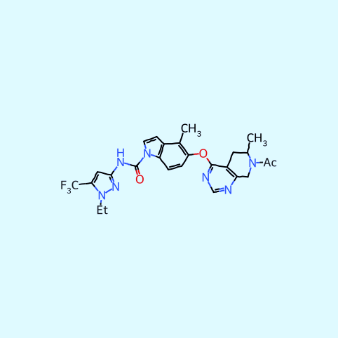 CCn1nc(NC(=O)n2ccc3c(C)c(Oc4ncnc5c4CC(C)N(C(C)=O)C5)ccc32)cc1C(F)(F)F